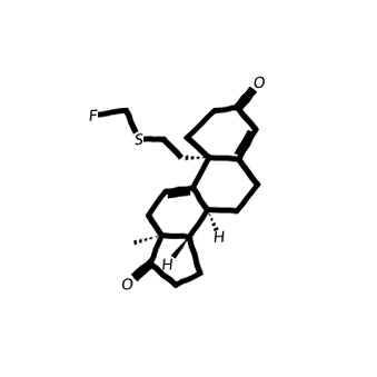 C[C@]12CC=C3[C@@H](CCC4=CC(=O)CC[C@@]43CCSCF)[C@@H]1CCC2=O